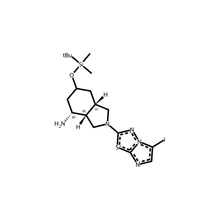 CC(C)(C)[Si](C)(C)OC1C[C@@H]2CN(c3nn4c(I)cnc4s3)C[C@@H]2[C@H](N)C1